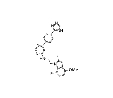 COc1ccc(F)c2c1cc(C)n2CCNc1cc(-c2ccc(-c3nnc[nH]3)cc2)ncn1